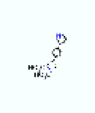 O=C(O)[C@H]1CC(c2ccc(-c3cccnc3)cc2)CCN1C(=O)O